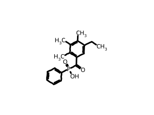 CCc1cc(C(=O)P(=O)(O)c2ccccc2)c(C)c(C)c1C